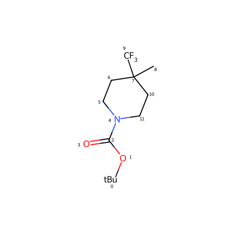 CC(C)(C)OC(=O)N1CCC(C)(C(F)(F)F)CC1